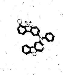 C=C(/C=c1\c(=C/C)oc2ccccc12)N(c1ccccc1)c1ccc2c(c1)-c1cccc(Cl)c1[Si]2(C)C